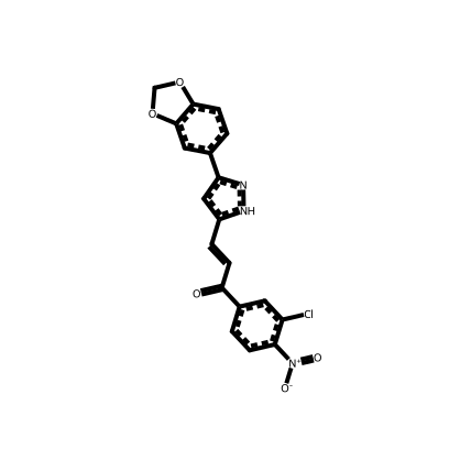 O=C(/C=C/c1cc(-c2ccc3c(c2)OCO3)n[nH]1)c1ccc([N+](=O)[O-])c(Cl)c1